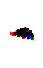 COc1cc(N2C[C@H](CNC(=O)c3ccc(Cl)s3)CC2=O)ccc1-n1cccc(CCO)c1=O